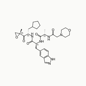 C[C@H](NC(=O)CN1CCOCC1)C(=O)N[C@@H](Cc1ccc2[nH]ncc2c1)C(=O)N[C@@H](CC1CCCC1)C(=O)[C@@]1(C)CO1